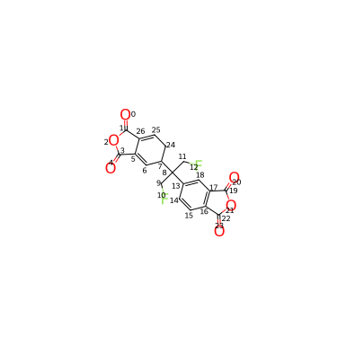 O=C1OC(=O)C2=CC(C(CF)(CF)c3ccc4c(c3)C(=O)OC4=O)CC=C12